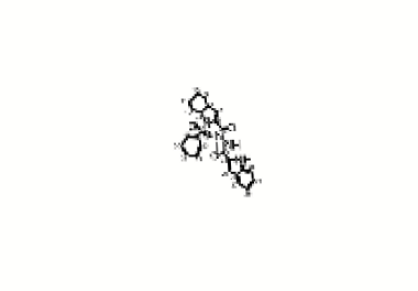 O=C(NNC(=O)C1CC2CCCCC2N1S(=O)(=O)c1ccccc1)c1cc2ccccc2[nH]1